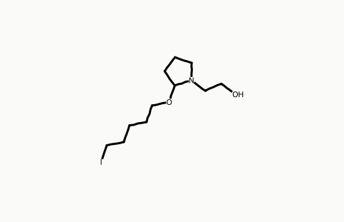 OCCN1CCCC1OCCCCCI